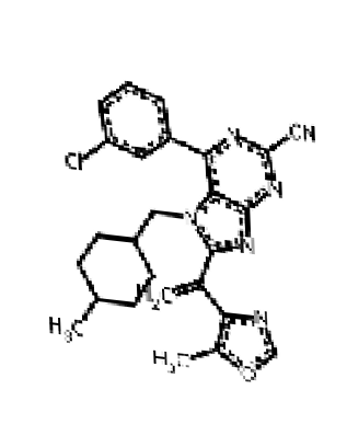 C=C(c1ncoc1C)c1nc2nc(C#N)nc(-c3cccc(Cl)c3)c2n1CC1CCC(C)CC1